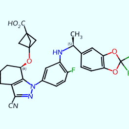 C[C@H](Nc1cc(-n2nc(C#N)c3c2[C@H](OC24CC(C(=O)O)(C2)C4)CCC3)ccc1F)c1ccc2c(c1)OC(F)(F)O2